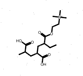 CCC(CC(CC(C)C(=O)O)C(=O)O)C(=O)OCC[N+](C)(C)C